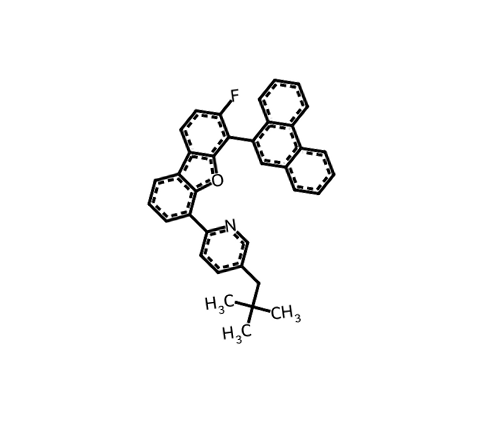 CC(C)(C)Cc1ccc(-c2cccc3c2oc2c(-c4cc5ccccc5c5ccccc45)c(F)ccc23)nc1